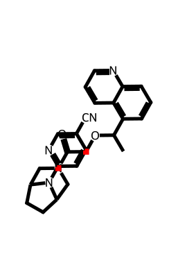 CC(OCC(=O)N1CC2CCC(C1)N2c1ccc(C#N)cn1)c1cccc2ncccc12